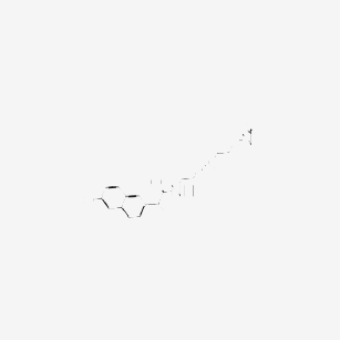 COc1ccc2cc(C(C)C(=O)NCCSSCCON=O)ccc2c1